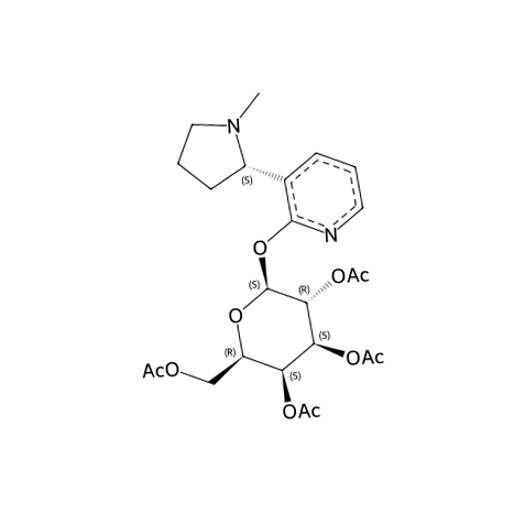 CC(=O)OC[C@H]1O[C@@H](Oc2ncccc2[C@@H]2CCCN2C)[C@H](OC(C)=O)[C@@H](OC(C)=O)[C@H]1OC(C)=O